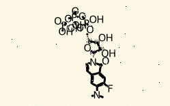 CN(C)c1cc2ccn([C@@H]3O[C@H](COP(=O)(O)OP(=O)(O)OP(=O)(O)O)[C@@H](O)[C@H]3O)c(=O)c2cc1F